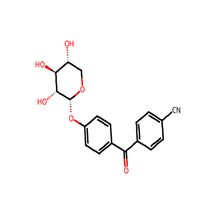 N#Cc1ccc(C(=O)c2ccc(O[C@H]3OC[C@@H](O)[C@H](O)[C@H]3O)cc2)cc1